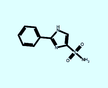 NS(=O)(=O)c1c[nH]c(-c2ccccc2)n1